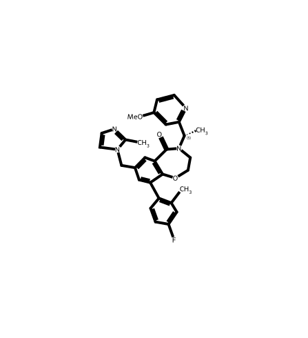 COc1ccnc([C@H](C)N2CCOc3c(cc(Cn4ccnc4C)cc3-c3ccc(F)cc3C)C2=O)c1